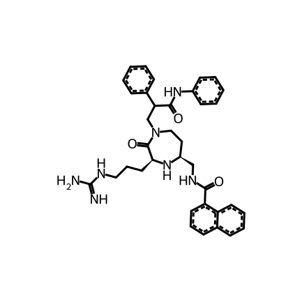 N=C(N)NCCC[C@@H]1N[C@H](CNC(=O)c2cccc3ccccc23)CCN(CC(C(=O)Nc2ccccc2)c2ccccc2)C1=O